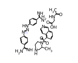 CC(=O)NCC(=O)O.CC1CNCCN1S(=O)(=O)c1cccc2cnccc12.N=C(N)c1ccc(/N=N/Nc2ccc(C(=N)N)cc2)cc1